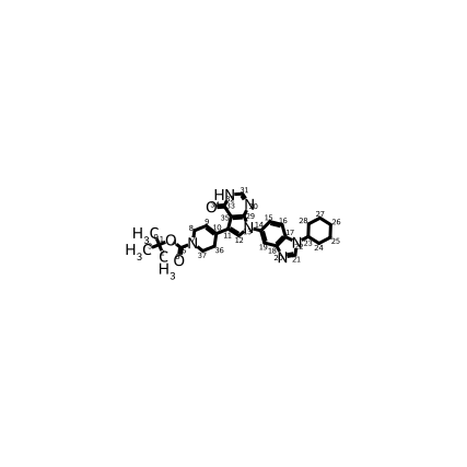 CC(C)(C)OC(=O)N1CC=C(c2cn(-c3ccc4c(c3)ncn4C3CCCCC3)c3nc[nH]c(=O)c23)CC1